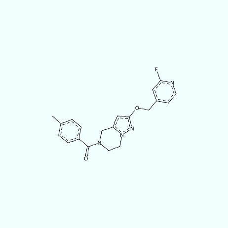 Cc1ccc(C(=O)N2CCn3nc(OCc4ccnc(F)c4)cc3C2)cc1